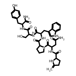 C=C1CCC(C(=O)NC(CC(N)=O)C(=O)N2CCCC2C(=O)NC(Cc2c[nH]c3ccccc23)C(=O)NC(CO)C(=O)NC(Cc2ccc(O)cc2)C(N)=O)N1